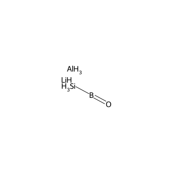 O=B[SiH3].[AlH3].[LiH]